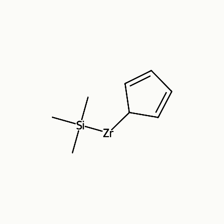 C[Si](C)(C)[Zr][CH]1C=CC=C1